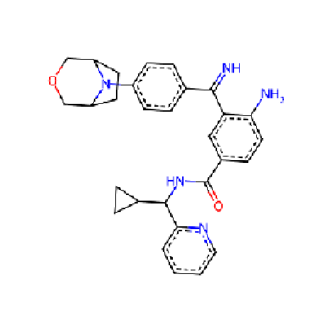 N=C(c1ccc(N2C3CCC2COC3)cc1)c1cc(C(=O)NC(c2ccccn2)C2CC2)ccc1N